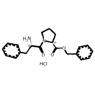 Cl.N[C@@H](Cc1ccccc1)C(=O)N1CCC[C@H]1C(=O)OCc1ccccc1